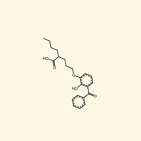 CCCCC(CCCOc1cccc(C(=O)c2ccccc2)c1O)C(=O)O